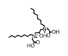 CCCCCCCC[N+](C)(CC(=O)O)CC(O)C[N+](C)(CCCCCCCC)CC(=O)O